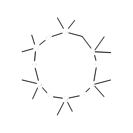 C[Si]1(C)C[Si](C)(C)O[Si](C)(C)O[Si](C)(C)O[Si](C)(C)O[Si](C)(C)O1